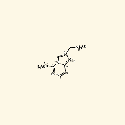 CNCc1cn2c(SC)nccc2n1